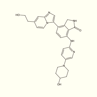 O=C1NCc2c(-c3cnc4cc(CCO)ccn34)ccc(Nc3ccc(N4CCC(O)CC4)cn3)c21